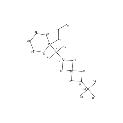 CCCC1(C(C)(C)N2CC3(CC(C(C)(C)C)C3)C2)CCCCC1